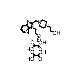 CCOCCn1c(CN2CCN(CCO)CC2)nc2cccnc21.O=C(O)C(=O)O.O=C(O)C(=O)O